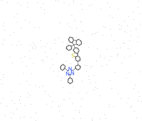 c1ccc(-c2nc(-c3ccccc3)nc(-c3cccc(-c4ccc5c(c4)sc4cc(C6(c7ccccc7)c7ccccc7-c7ccccc76)ccc45)c3)n2)cc1